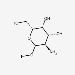 N[C@H]1C(OF)O[C@H](CO)[C@H](O)[C@@H]1O